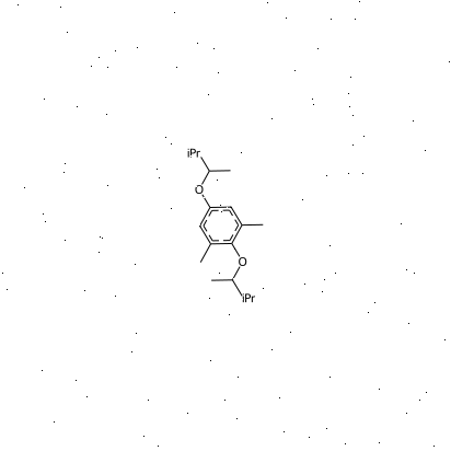 Cc1cc(OC(C)C(C)C)cc(C)c1OC(C)C(C)C